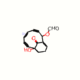 O=COC1C#C/C=C\C#CC2(O)CCC=C1C2=O